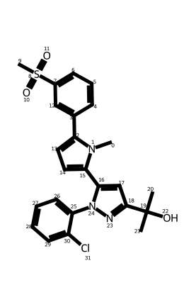 Cn1c(-c2cccc(S(C)(=O)=O)c2)ccc1-c1cc(C(C)(C)O)nn1-c1ccccc1Cl